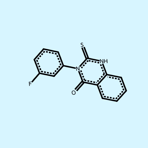 O=c1c2ccccc2[nH]c(=S)n1-c1cccc(F)c1